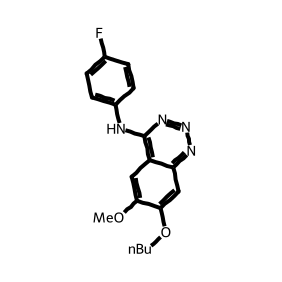 CCCCOc1cc2nnnc(Nc3ccc(F)cc3)c2cc1OC